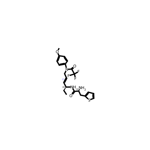 CC[C@@H](/C=C/CN(C(=O)C(F)(F)F)c1ccc(OC)cc1)NC(=O)[C@@H](N)Cc1cccs1